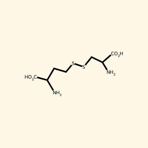 NC(CCSSCC(N)C(=O)O)C(=O)O